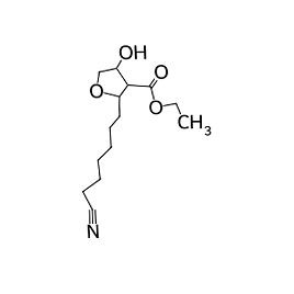 CCOC(=O)C1C(O)COC1CCCCCCC#N